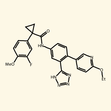 CCOc1ccc(-c2ccc(NC(=O)C3(c4ccc(OC)c(F)c4)CC3)cc2-c2nnn[nH]2)cn1